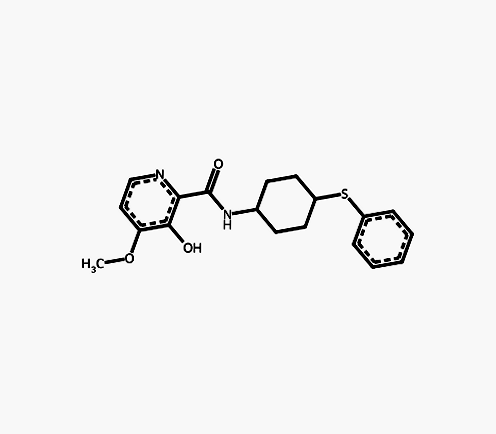 COc1ccnc(C(=O)NC2CCC(Sc3ccccc3)CC2)c1O